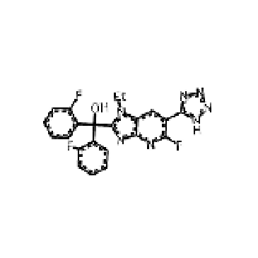 CCn1c(C(O)(c2ccccc2F)c2ccccc2F)nc2nc(F)c(-c3nnn[nH]3)cc21